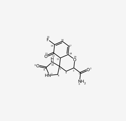 NC(=O)C1CC2(CNC(=O)N2)C2C(=O)C(F)=CC=C2O1